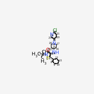 CC(C)(C)n1sc(-c2ccccc2)c(NC2CCN(c3ccc(Cl)nc3)CC2)c1=O